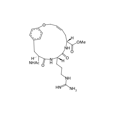 COC(=O)[C@H]1CC=CCOc2ccc(cc2)C[C@H](NC(C)=O)C(=O)N[C@@H](CCCNC(=N)N)C(=O)N1